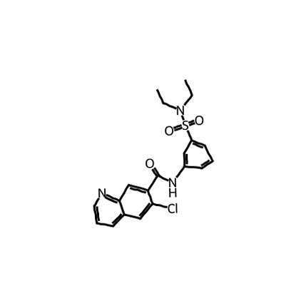 CCN(CC)S(=O)(=O)c1cccc(NC(=O)c2cc3ncccc3cc2Cl)c1